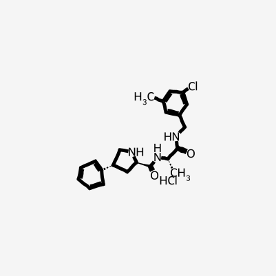 Cc1cc(Cl)cc(CNC(=O)[C@H](C)NC(=O)[C@H]2C[C@H](c3ccccc3)CN2)c1.Cl